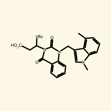 CCCCC(CC(=O)O)n1c(=O)c2ccccc2n(Cc2cn(C)c3cccc(C)c23)c1=O